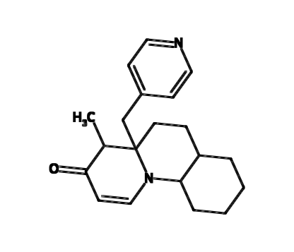 CC1C(=O)C=CN2C3CCCCC3CCC12Cc1ccncc1